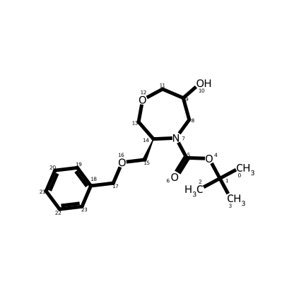 CC(C)(C)OC(=O)N1CC(O)COC[C@@H]1COCc1ccccc1